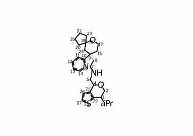 CC(C)C1COC(CNCC[C@@]2(c3ccccn3)CCOC3(CCCC3)C2)c2ccsc21